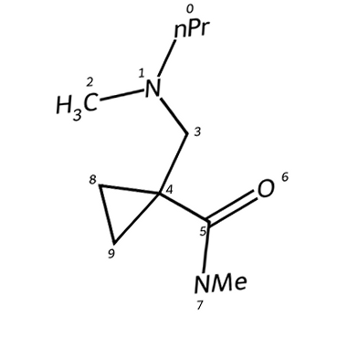 CCCN(C)CC1(C(=O)NC)CC1